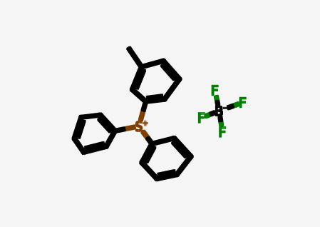 Cc1cccc([S+](c2ccccc2)c2ccccc2)c1.F[B-](F)(F)F